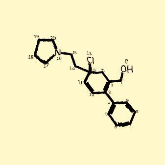 OCC1=C(c2ccccc2)C=CC(Cl)(CCN2CCCC2)C1